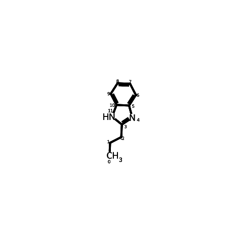 CC[CH]c1nc2ccccc2[nH]1